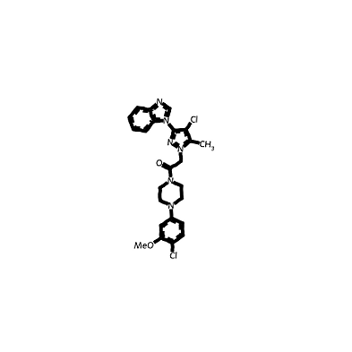 COc1cc(N2CCN(C(=O)Cn3nc(-n4cnc5ccccc54)c(Cl)c3C)CC2)ccc1Cl